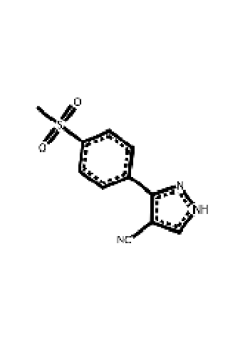 CS(=O)(=O)c1ccc(-c2n[nH]cc2C#N)cc1